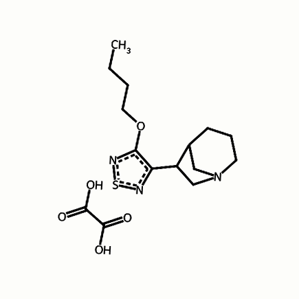 CCCCOc1nsnc1C1CN2CCCC1C2.O=C(O)C(=O)O